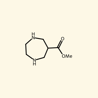 COC(=O)C1CNCCNC1